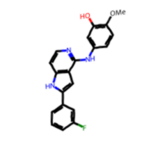 COc1ccc(Nc2nccc3[nH]c(-c4cccc(F)c4)cc23)cc1O